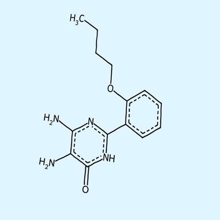 CCCCOc1ccccc1-c1nc(N)c(N)c(=O)[nH]1